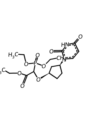 CCOC(=O)C(O[C@@H]1CC[C@H](n2ccc(=O)[nH]c2=O)C1)P(=O)(OCC)OCC